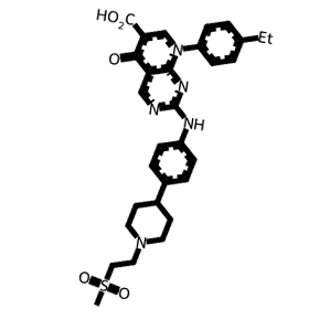 CCc1ccc(-n2cc(C(=O)O)c(=O)c3cnc(Nc4ccc(C5CCN(CCS(C)(=O)=O)CC5)cc4)nc32)cc1